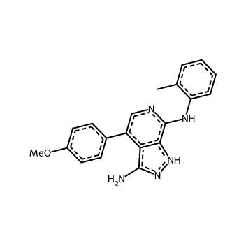 COc1ccc(-c2cnc(Nc3ccccc3C)c3[nH]nc(N)c23)cc1